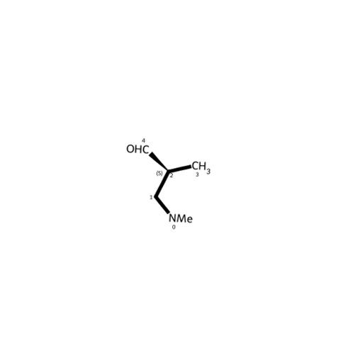 CNC[C@H](C)C=O